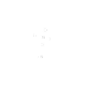 CC[N+](CC)(CC)CC.N#C[S-]